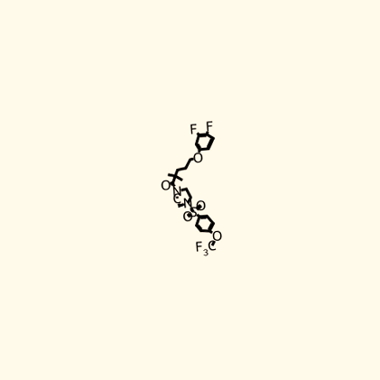 CC(C)(CCCOc1ccc(F)c(F)c1)C(=O)N1CCN(S(=O)(=O)c2ccc(OC(F)(F)F)cc2)CC1